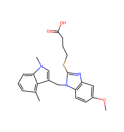 COc1ccc2c(c1)nc(SCCCC(=O)O)n2Cc1cn(C)c2cccc(C)c12